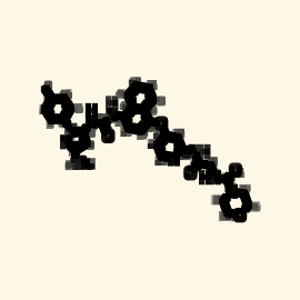 Cc1ccc(-n2nc(C(C)(C)C)cc2NC(=O)Nc2ccc(Oc3ccnc(NC(=O)CNC(=O)N4CCOCC4)c3)c3ccccc23)cc1